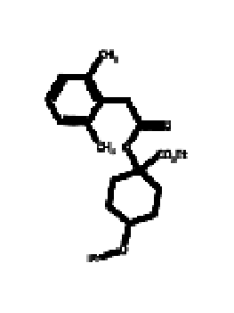 CCOC(=O)C1(OC(=O)Cc2c(C)cccc2C)CCC(OC(C)C)CC1